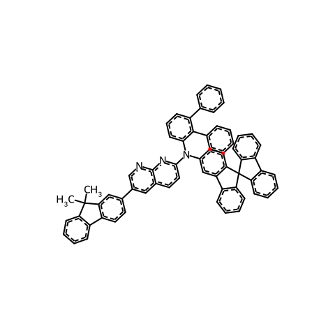 CC1(C)c2ccccc2-c2ccc(-c3cnc4nc(N(c5ccc6c(c5)-c5ccccc5C65c6ccccc6-c6ccccc65)c5cccc(-c6ccccc6)c5-c5ccccc5)ccc4c3)cc21